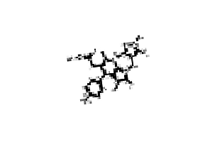 COC(=O)Cc1c(C)nc2c(c(C)c(C)n2Cc2c(C)nn(C)c2Cl)c1-c1ccc(Cl)cc1